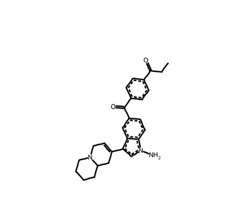 CCC(=O)c1ccc(C(=O)c2ccc3c(c2)c(C2=CCN4CCCCC4C2)cn3N)cc1